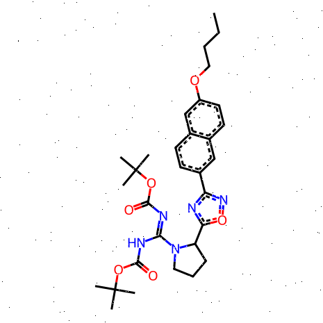 CCCCOc1ccc2cc(-c3noc(C4CCCN4C(=NC(=O)OC(C)(C)C)NC(=O)OC(C)(C)C)n3)ccc2c1